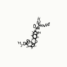 CNC(N)=NC(=O)c1cc2ccc(Oc3ccc(CN(C)C)s3)cc2[nH]1